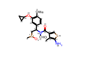 COc1ccc(C(C[S+](C)[O-])N(C=O)C(=O)c2csc(N)c2C)cc1OC1CC1